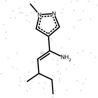 CCC(C)/C=C(\N)c1cnn(C)c1